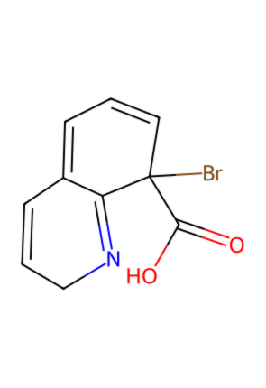 O=C(O)C1(Br)C=CC=C2C=CCN=C21